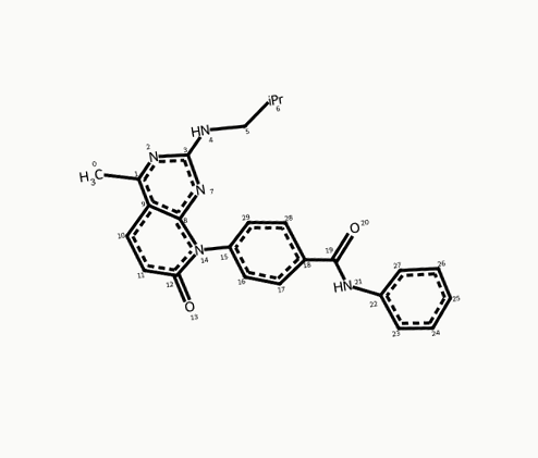 Cc1nc(NCC(C)C)nc2c1ccc(=O)n2-c1ccc(C(=O)Nc2ccccc2)cc1